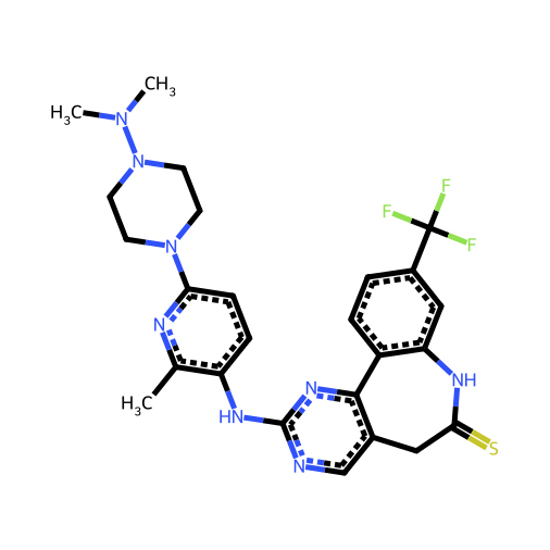 Cc1nc(N2CCN(N(C)C)CC2)ccc1Nc1ncc2c(n1)-c1ccc(C(F)(F)F)cc1NC(=S)C2